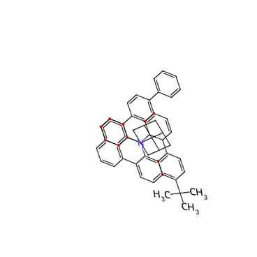 CC(C)(C)c1ccc(C2C=CC=CC2N(c2ccccc2-c2ccc(-c3ccccc3)cc2)c2ccccc2-c2cccc3cccc(C45CC6CC7CC(C4)C765)c23)cc1